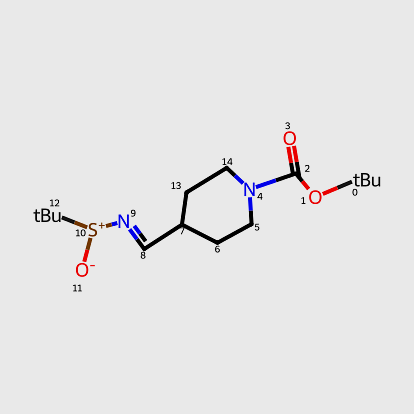 CC(C)(C)OC(=O)N1CCC(/C=N/[S+]([O-])C(C)(C)C)CC1